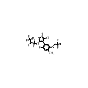 Cc1cc(F)c(-c2c(OC(F)(F)C(F)C(F)(F)F)n[nH]c2Cl)cc1SCC(F)(F)F